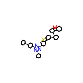 c1ccc(-c2ccc(-c3nc(-c4ccccc4)nc(-c4ccc5c(c4)sc4ccc(-c6ccccc6-c6cccc7oc8ccccc8c67)cc45)n3)cc2)cc1